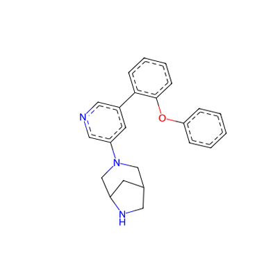 c1ccc(Oc2ccccc2-c2cncc(N3CC4CNC(C4)C3)c2)cc1